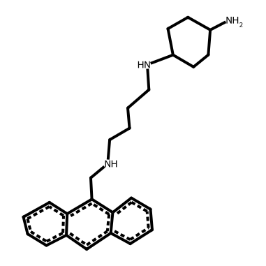 NC1CCC(NCCCCNCc2c3ccccc3cc3ccccc23)CC1